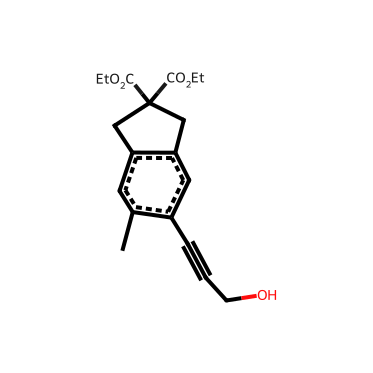 CCOC(=O)C1(C(=O)OCC)Cc2cc(C)c(C#CCO)cc2C1